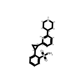 NS(=O)(=O)c1ccccc1C1CC1c1cccc(C2CCOCC2)n1